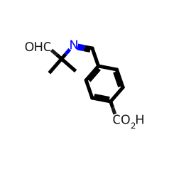 CC(C)(C=O)/N=C\c1ccc(C(=O)O)cc1